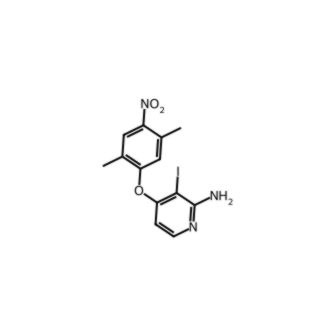 Cc1cc([N+](=O)[O-])c(C)cc1Oc1ccnc(N)c1I